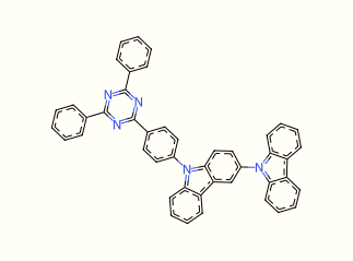 c1ccc(-c2nc(-c3ccccc3)nc(-c3ccc(-n4c5ccccc5c5cc(-n6c7ccccc7c7ccccc76)ccc54)cc3)n2)cc1